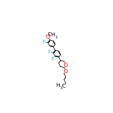 CCCCCOC1CCC(c2ccc(-c3ccc(OC)c(F)c3)c(F)c2F)CO1